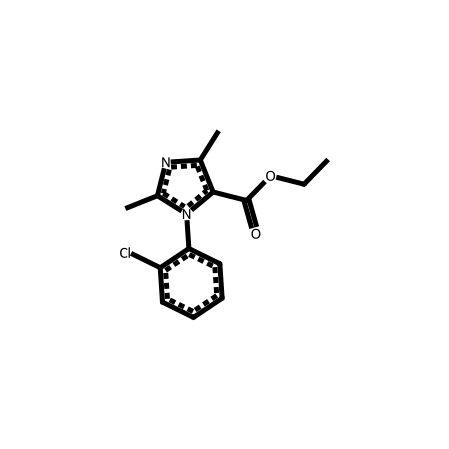 CCOC(=O)c1c(C)nc(C)n1-c1ccccc1Cl